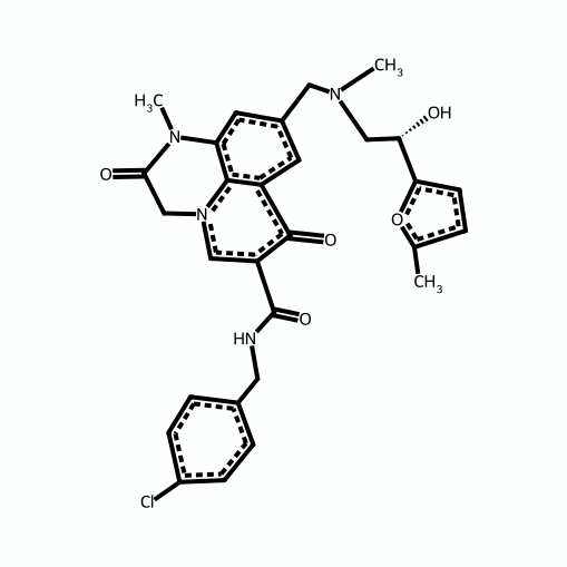 Cc1ccc([C@@H](O)CN(C)Cc2cc3c4c(c2)c(=O)c(C(=O)NCc2ccc(Cl)cc2)cn4CC(=O)N3C)o1